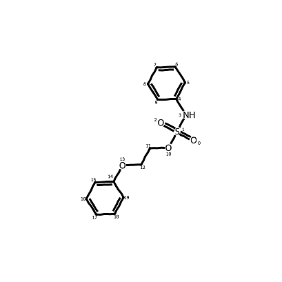 O=S(=O)(Nc1ccccc1)OCCOc1ccccc1